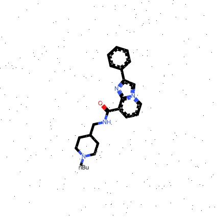 CCCCN1CCC(CNC(=O)c2cccn3cc(-c4ccccc4)nc23)CC1